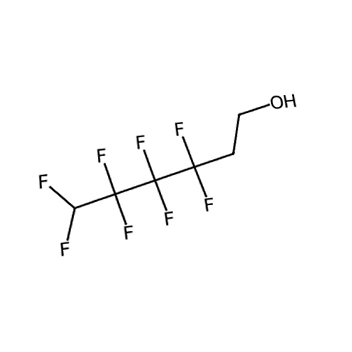 OCCC(F)(F)C(F)(F)C(F)(F)C(F)F